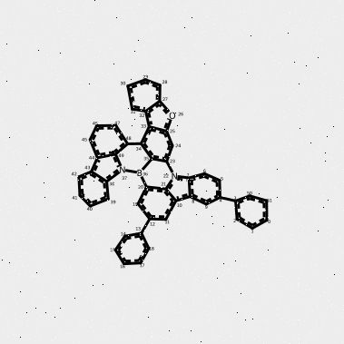 c1ccc(-c2ccc3c(c2)c2cc(-c4ccccc4)cc4c2n3-c2cc3oc5ccccc5c3c3c2B4n2c4ccccc4c4cccc-3c42)cc1